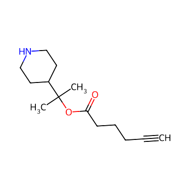 C#CCCCC(=O)OC(C)(C)C1CCNCC1